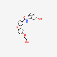 O=C(NC1C2CC3CC1CC(O)(C3)C2)c1ccc2oc3ccc(OCCO)cc3c2c1